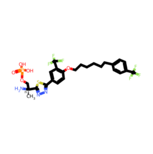 C[C@](N)(COP(=O)(O)O)c1nnc(-c2ccc(OCCCCCCc3ccc(C(F)(F)F)cc3)c(C(F)(F)F)c2)s1